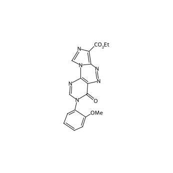 CCOC(=O)c1ncn2c1nnc1c(=O)n(-c3ccccc3OC)cnc12